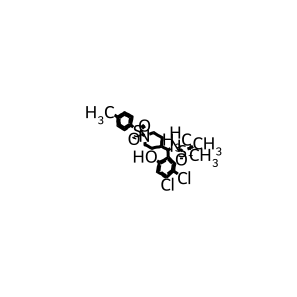 Cc1ccc(S(=O)(=O)N2CCC(C(N[S+]([O-])C(C)(C)C)c3cc(Cl)c(Cl)cc3O)CC2)cc1